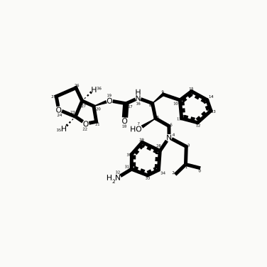 CC(C)CN(C[C@@H](O)[C@H](Cc1ccccc1)NC(=O)O[C@H]1CO[C@H]2OCC[C@H]21)c1ccc(N)cc1